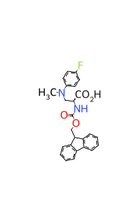 CN(C[C@H](NC(=O)OCC1c2ccccc2-c2ccccc21)C(=O)O)c1ccc(F)cc1